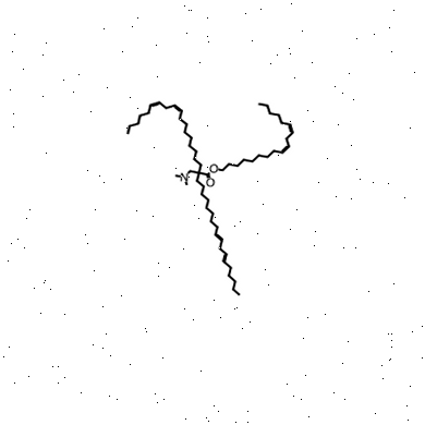 CCCCC/C=C\C/C=C\CCCCCCCCOC(=O)C(CCCCCCCC/C=C\C/C=C\CCCCC)(CCCCCCCC/C=C/C/C=C/CCCCC)CN(C)C